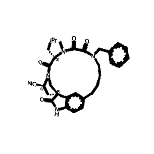 CC(C)C[C@H]1C(=O)N2C[C@]3(C[C@H]2C#N)C(=O)Nc2ccc(cc23)CCCCN(Cc2ccccc2)C(=O)C(=O)N1C